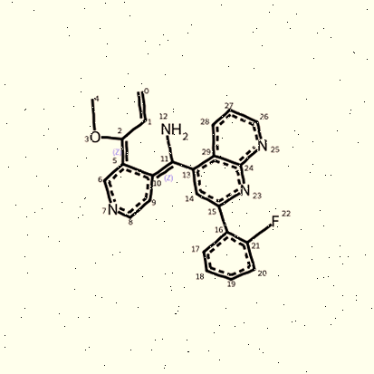 C=C/C(OC)=c1/cncc/c1=C(/N)c1cc(-c2ccccc2F)nc2ncccc12